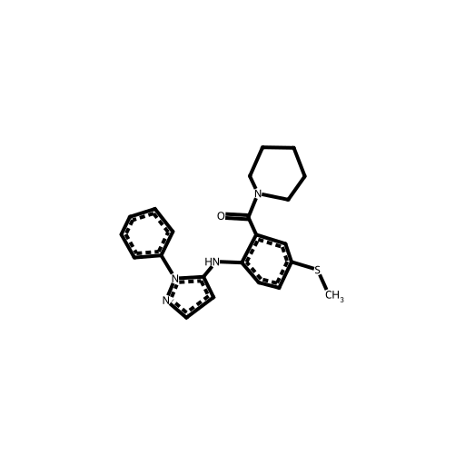 CSc1ccc(Nc2ccnn2-c2ccccc2)c(C(=O)N2CCCCC2)c1